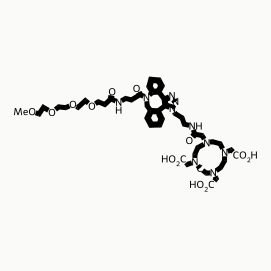 COCCOCCOCCOCCC(=O)NCCC(=O)N1Cc2ccccc2-c2c(nnn2CCCNC(=O)CN2CCN(CC(=O)O)CCN(CC(=O)O)CCN(CC(=O)O)CC2)-c2ccccc21